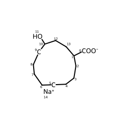 O=C([O-])C1CCCCCCCCC(O)CC1.[Na+]